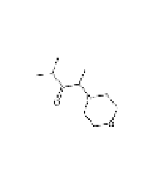 CC(C)C(=O)C(C)N1CCOCC1